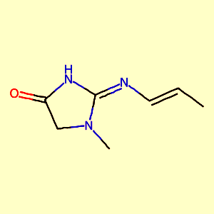 C/C=C/N=C1/NC(=O)CN1C